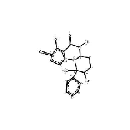 CN1C(=O)c2c(O)c(=O)ccn2N2C1CCC(O)C2(C)c1ccccc1